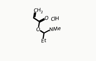 C=CC(=O)OC(CC)NC.Cl